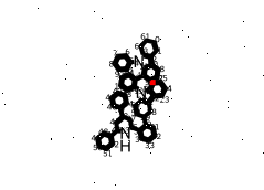 C1=Cc2c(n(-c3ccccc3)c3c(-c4ccccc4-n4c5c(c6ccccc64)CC(c4ccccc4C4CC(c6ccccc6)=CC(c6ccccc6)N4)C=C5)cccc23)CC1